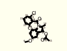 COc1ccc2c(c1)c(OC(C)=O)c(C)n2C(=O)c1c(Cl)cccc1Cl